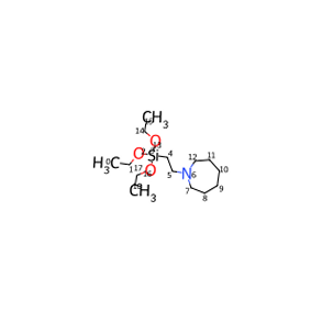 CCO[Si](CCN1CCCCCC1)(OCC)OCC